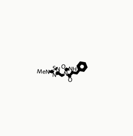 CNc1nc(CN2C(=O)NC(Cc3ccccc3)C2=O)ns1